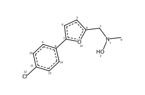 CN(O)Cc1ccc(-c2ccc(Cl)cc2)o1